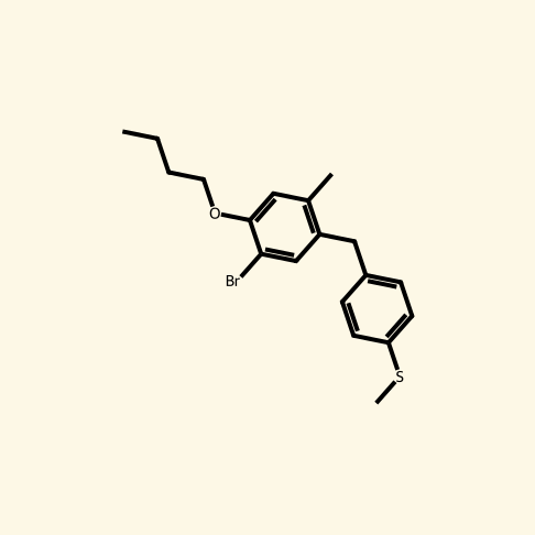 CCCCOc1cc(C)c(Cc2ccc(SC)cc2)cc1Br